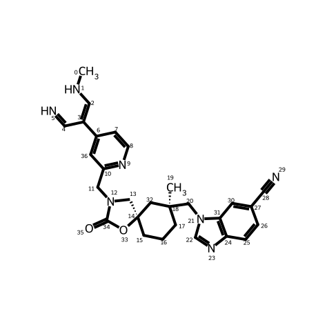 CN/C=C(\C=N)c1ccnc(CN2C[C@]3(CCC[C@](C)(Cn4cnc5ccc(C#N)cc54)C3)OC2=O)c1